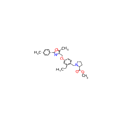 CCc1cc(OCc2nc(-c3ccc(C)cc3)oc2C)ccc1CN1CCCC1C(=O)OC